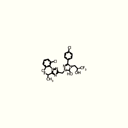 CC(F)c1nc(CN2N=C(c3ccc(Cl)cc3)N(C[C@H](O)C(F)(F)F)C2O)nn1-c1c(Cl)cccc1Cl